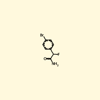 NC(=O)C(F)c1ccc(Br)cc1